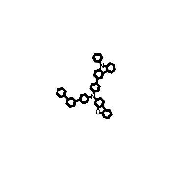 c1ccc(-c2cccc(-c3ccc(N(c4ccc(-c5ccc6c(c5)c5ccccc5n6-c5ccccc5)cc4)c4ccc5c(c4)oc4ccccc45)cc3)c2)cc1